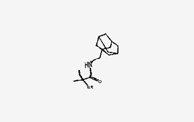 CCC(C)(C)C(=O)NCC12CC3CC(CC(C3)C1)C2